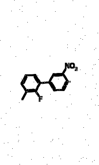 Cc1cccc(-c2cc[c]c([N+](=O)[O-])c2)c1F